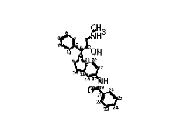 CNC[C@H](O)[C@H](c1ccccc1)N1CCc2cc(NC(=O)c3ccccc3)ccc21